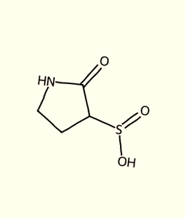 O=C1NCCC1S(=O)O